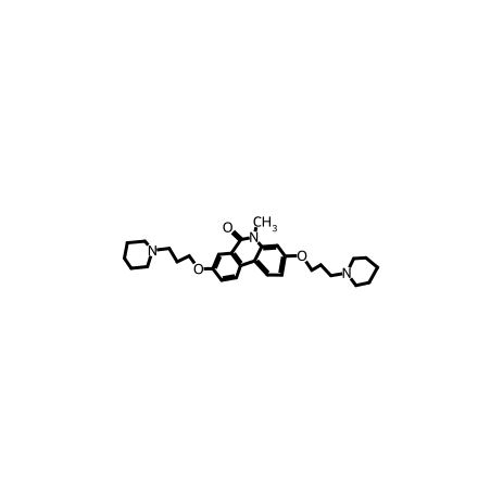 Cn1c(=O)c2cc(OCCCN3CCCCC3)ccc2c2ccc(OCCCN3CCCCC3)cc21